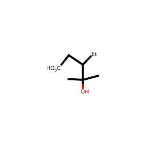 CCC(CC(=O)O)C(C)(C)O